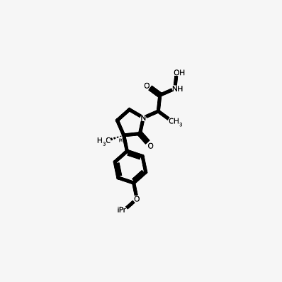 CC(C)Oc1ccc([C@@]2(C)CCN(C(C)C(=O)NO)C2=O)cc1